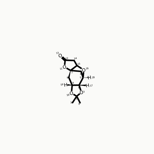 CC1(C)O[C@H]2[C@H]3C[C@]4(C[C@H]2O1)OC(=O)CC4O3